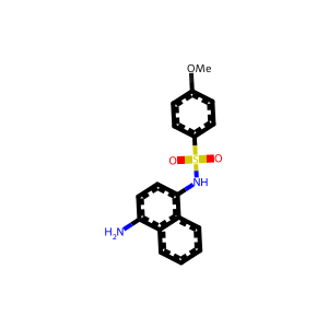 COc1ccc(S(=O)(=O)Nc2ccc(N)c3ccccc23)cc1